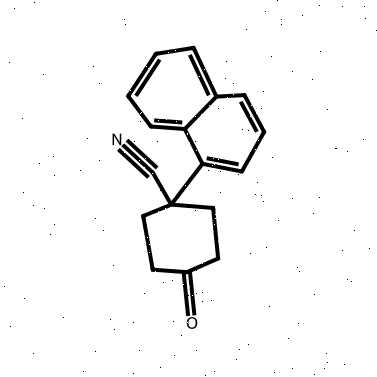 N#CC1(c2cccc3ccccc23)CCC(=O)CC1